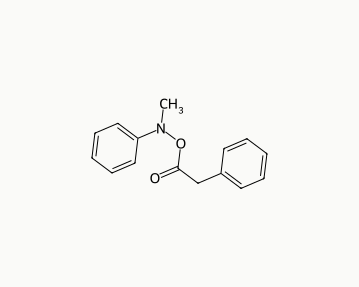 CN(OC(=O)Cc1ccccc1)c1ccccc1